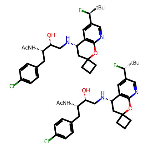 CC(=O)N[C@@H](Cc1ccc(Cl)cc1)[C@H](O)CN[C@H]1CC2(CCC2)Oc2ncc([C@@H](F)C(C)(C)C)cc21.CC(=O)N[C@@H](Cc1ccc(Cl)cc1)[C@H](O)CN[C@H]1CC2(CCC2)Oc2ncc([C@H](F)C(C)(C)C)cc21